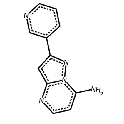 Nc1ccnc2cc(-c3cccnc3)nn12